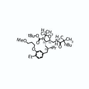 CCCCC(C)(C)C(=O)NC[C@@H]1OC(C)(C)N(C(=O)OC(C)(C)C)[C@H]1C[C@H](Cc1ccc(CC)c(OCCCOC)c1)C(C)C